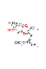 CCOC(=O)C1C(C)C1CCC(C)OC1OC(C)C(O)CC1O